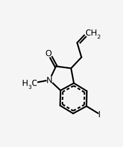 C=CCC1C(=O)N(C)c2ccc(I)cc21